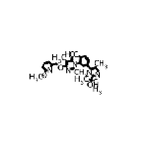 COc1cccc(COc2nc(C)n(-c3cc(-c4nc(C(C)(C)O)ncc4C)ccc3C)c(=O)c2C)n1